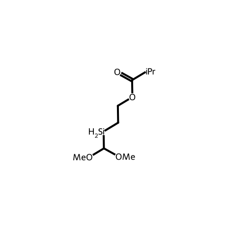 COC(OC)[SiH2]CCOC(=O)C(C)C